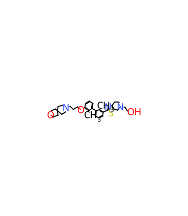 Cc1c(OCCCN2CCC3(CCOCC3)CC2)cccc1-c1cccc(-c2nc3c(s2)CN(CCO)CC3)c1C